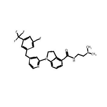 CN(C)CCNC(=O)c1cccc2c1CCN2c1cc(Cc2cc(F)cc(C(F)(F)F)c2)ccn1